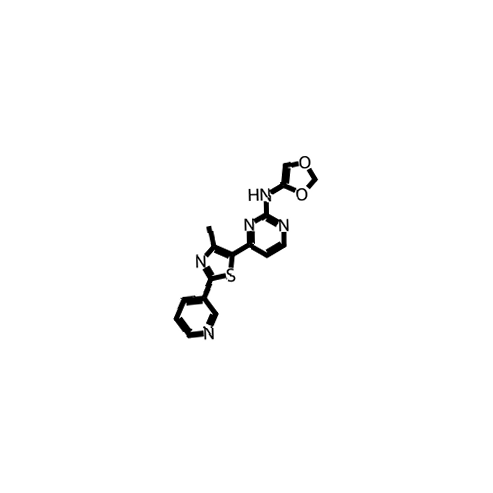 Cc1nc(-c2cccnc2)sc1-c1ccnc(NC2=COCO2)n1